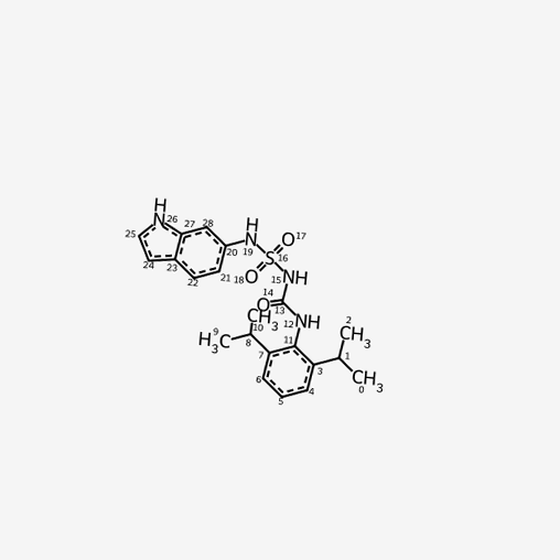 CC(C)c1cccc(C(C)C)c1NC(=O)NS(=O)(=O)Nc1ccc2cc[nH]c2c1